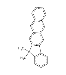 CC1(C)c2ccccc2-c2cc3cc4ccccc4cc3cc21